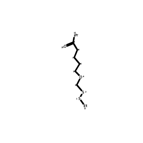 CCSSCOCCCCC(=O)C(C)C